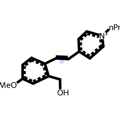 CCC[n+]1ccc(/C=C/c2ccc(OC)cc2CO)cc1